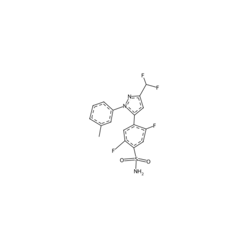 Cc1cccc(-n2nc(C(F)F)cc2-c2cc(F)c(S(N)(=O)=O)cc2F)c1